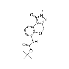 Cn1nc2n(c1=O)-c1cccc(NC(=O)OC(C)(C)C)c1OC2